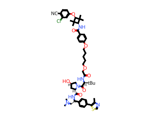 Cc1ncsc1-c1ccc([C@H](CN(C)C)NC(=O)[C@@H]2C[C@@H](O)CN2C(=O)[C@@H](NC(=O)COCCCCCOc2ccc(C(=O)N[C@H]3C(C)(C)[C@H](Oc4ccc(C#N)c(Cl)c4)C3(C)C)cc2)C(C)(C)C)cc1